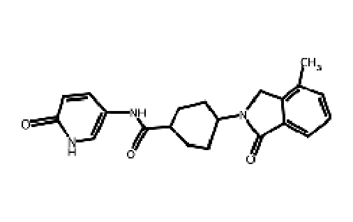 Cc1cccc2c1CN(C1CCC(C(=O)Nc3ccc(=O)[nH]c3)CC1)C2=O